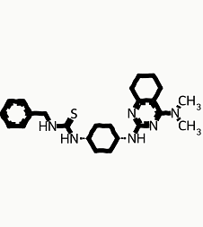 CN(C)c1nc(N[C@H]2CC[C@@H](NC(=S)NCc3ccccc3)CC2)nc2c1CCCC2